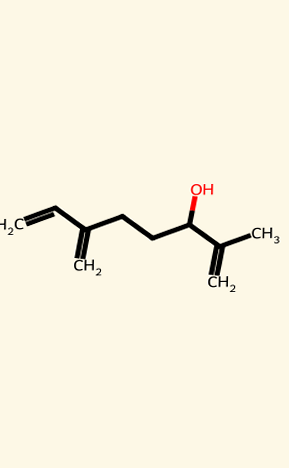 C=CC(=C)CCC(O)C(=C)C